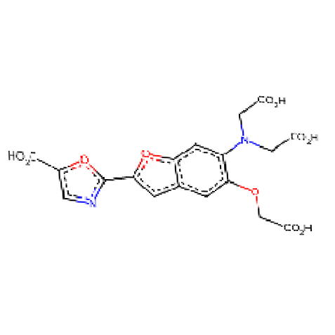 O=C(O)COc1cc2cc(-c3ncc(C(=O)O)o3)oc2cc1N(CC(=O)O)CC(=O)O